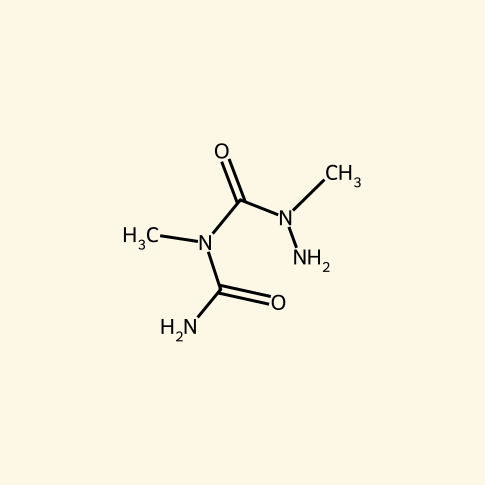 CN(N)C(=O)N(C)C(N)=O